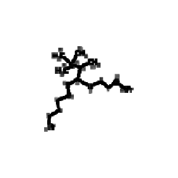 CC(C)CCCSSC(OCCOC(C)C)C(C)[Si](C)(C)C